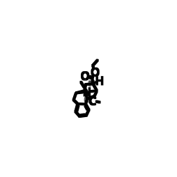 CCOC(=O)[C@H]1CC2C3Cc4ccccc4[C@@]2(CC)CC1N3C